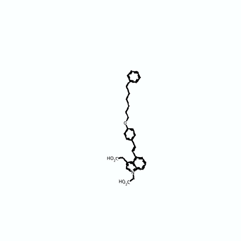 O=C(O)Cc1cn(CC(=O)O)c2cccc(C=Cc3ccc(OCCCCCCc4ccccc4)cc3)c12